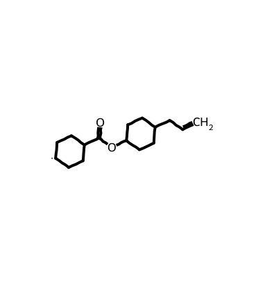 C=CCC1CCC(OC(=O)C2CC[CH]CC2)CC1